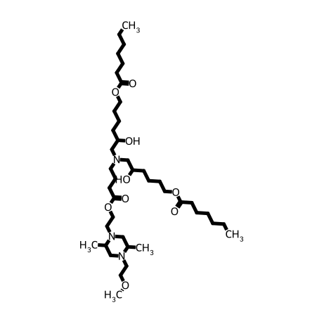 CCCCCCC(=O)OCCCCC(O)CN(CCCC(=O)OCCN1CC(C)N(CCOC)CC1C)CC(O)CCCCOC(=O)CCCCCC